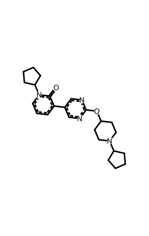 O=c1c(-c2cnc(OC3CCN(C4CCCC4)CC3)nc2)cccn1C1CCCC1